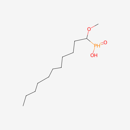 CCCCCCCCCCC(OC)[PH](=O)O